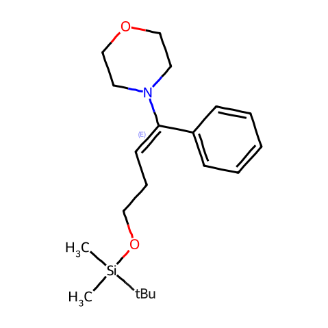 CC(C)(C)[Si](C)(C)OCC/C=C(\c1ccccc1)N1CCOCC1